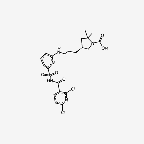 CC1(C)C[C@H](CCCNc2cccc(S(=O)(=O)NC(=O)c3ccc(Cl)nc3Cl)n2)CN1C(=O)O